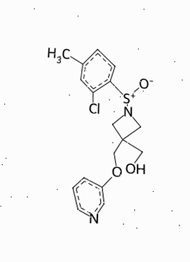 Cc1ccc([S+]([O-])N2CC(CO)(COc3cccnc3)C2)c(Cl)c1